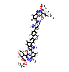 CC[C@H](C)[C@H](NC(=O)OC)C(=O)N1[C@@H](C)CC[C@H]1c1ncc(-c2ccc3c(c2)COc2cc4c(ccc5nc([C@@H]6CC[C@H](C)N6C(=O)[C@@H](NC(=O)OC)C6CCOCC6)[nH]c54)cc2-3)[nH]1